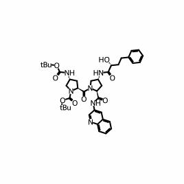 CC(C)(C)OC(=O)N[C@@H]1C[C@@H](C(=O)N2C[C@H](NC(=O)[C@H](O)CCc3ccccc3)C[C@H]2C(=O)Nc2cnc3ccccc3c2)N(C(=O)OC(C)(C)C)C1